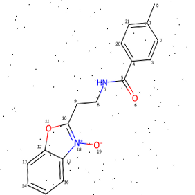 Cc1ccc(C(=O)NCCc2oc3ccccc3[n+]2[O-])cc1